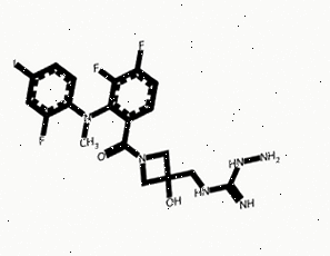 CN(c1ccc(I)cc1F)c1c(C(=O)N2CC(O)(CNC(=N)NN)C2)ccc(F)c1F